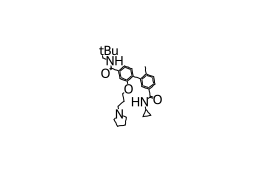 Cc1ccc(C(=O)NC2CC2)cc1-c1ccc(C(=O)NCC(C)(C)C)cc1OCCCN1CCCC1